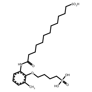 Cc1cccc(NC(=O)CCCCCCCCCCCS(=O)(=O)O)c1OCCCCP(=O)(O)O